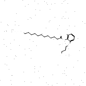 Cc1cccc(OCCCC(=O)O)c1NC(=O)CCCCCCCCCCCC(=O)O